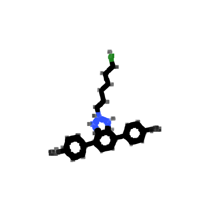 CC(C)(C)c1ccc(-c2ccc(-c3ccc(C(C)(C)C)cc3)c3nn(CCCCCCCl)nc23)cc1